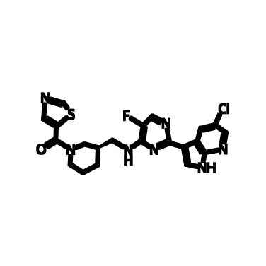 O=C(c1cncs1)N1CCC[C@H](CNc2nc(-c3c[nH]c4ncc(Cl)cc34)ncc2F)C1